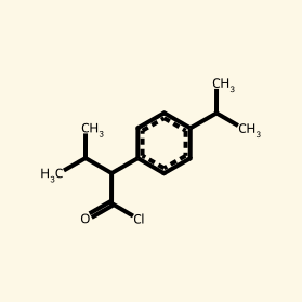 CC(C)c1ccc(C(C(=O)Cl)C(C)C)cc1